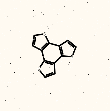 [c]1cc2c(s1)c1c[c]sc1c1c[c]sc21